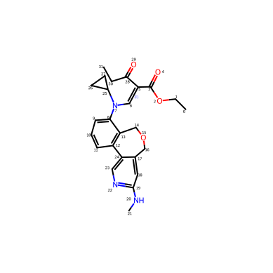 CCOC(=O)/C(=C/N(c1cccc2c1COCc1cc(NC)ncc1-2)C1CC1)C(=O)CC